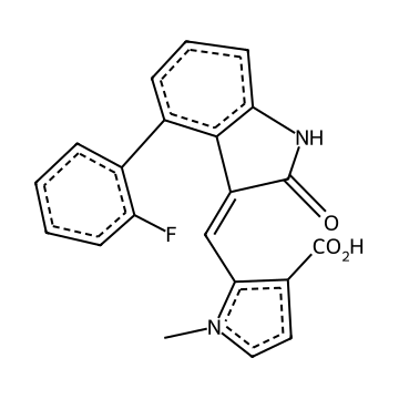 Cn1ccc(C(=O)O)c1C=C1C(=O)Nc2cccc(-c3ccccc3F)c21